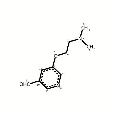 CN(C)CCOc1cncc(C=O)c1